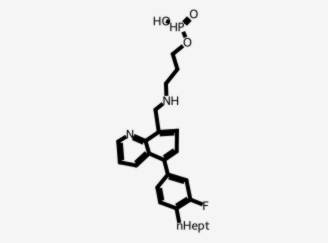 CCCCCCCc1ccc(-c2ccc(CNCCCO[PH](=O)O)c3ncccc23)cc1F